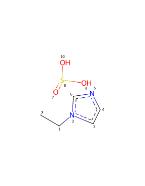 CCn1ccnc1.O=S(O)O